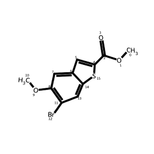 COC(=O)c1cc2cc(OC)c(Br)cc2s1